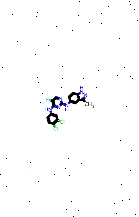 Cc1n[nH]c2ccc(Nc3ncc(F)c(Nc4ccc(Cl)c(Cl)c4)n3)cc12